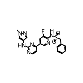 Cn1cc(Nc2nccc(-c3cnc(NS(=O)(=O)Cc4ccccc4)c(F)c3)n2)cn1